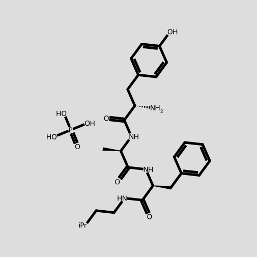 CC(C)CCNC(=O)[C@H](Cc1ccccc1)NC(=O)[C@@H](C)NC(=O)[C@@H](N)Cc1ccc(O)cc1.O=P(O)(O)O